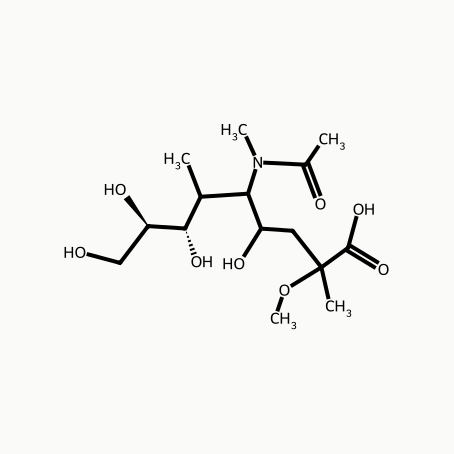 COC(C)(CC(O)C(C(C)[C@H](O)[C@H](O)CO)N(C)C(C)=O)C(=O)O